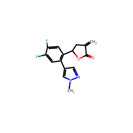 C=C1CC(c2cc(F)c(F)cc2-c2cnn(C)c2)OC1=O